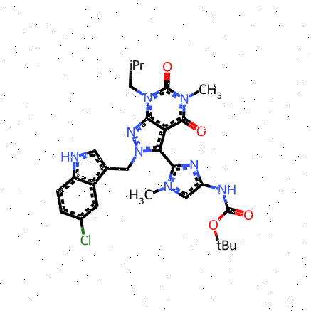 CC(C)Cn1c(=O)n(C)c(=O)c2c(-c3nc(NC(=O)OC(C)(C)C)cn3C)n(Cc3c[nH]c4ccc(Cl)cc34)nc21